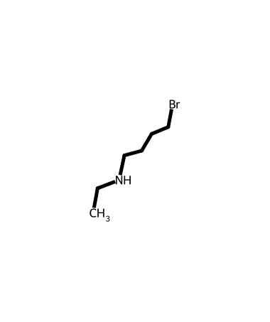 CCNCCCCBr